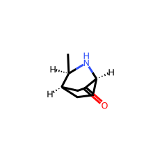 C[C@H]1N[C@H]2CC[C@@H]1CC2=O